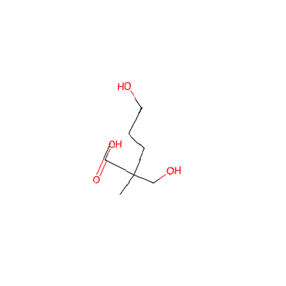 CC(CO)(CCCO)C(=O)O